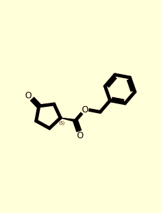 O=C1CC[C@H](C(=O)OCc2ccccc2)C1